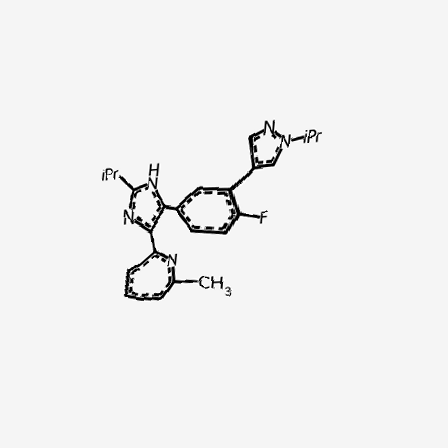 Cc1cccc(-c2nc(C(C)C)[nH]c2-c2ccc(F)c(-c3cnn(C(C)C)c3)c2)n1